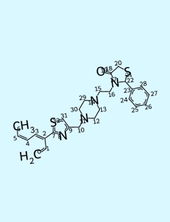 C=C/C(=C\C=C/C)c1nc(CN2CCN(CCN3C(=O)CSC3c3ccccc3)CC2)cs1